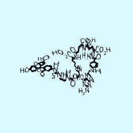 Nc1nc(O)c2nc(CNc3ccc(C(=O)N[C@@H](CCC(=O)N[C@@H](CCC(=O)N[C@@H](CCCn4cc(CCOC(=O)NCCNC(=S)Nc5ccc6c(c5)C(=O)OC65c6ccc(O)cc6Oc6cc(O)ccc65)nn4)C(=O)O)C(=O)O)C(=O)O)cc3)cnc2n1